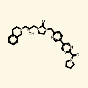 O=C(c1ncc(-c2ccc(CN3CCN(C[C@H](O)CN4CCc5ccccc5C4)C3=O)nc2)cn1)N1CCCC1